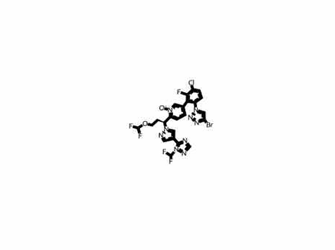 [O-][n+]1cc(-c2c(-n3cc(Br)nn3)ccc(Cl)c2F)ccc1[C@H](CCOC(F)F)n1cc(-c2ncnn2C(F)F)cn1